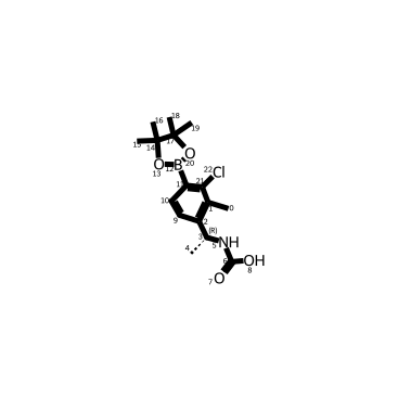 Cc1c([C@@H](C)NC(=O)O)ccc(B2OC(C)(C)C(C)(C)O2)c1Cl